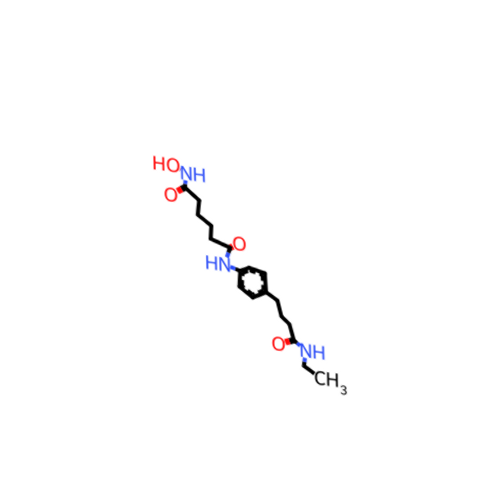 CCNC(=O)CCCc1ccc(NC(=O)CCCCC(=O)NO)cc1